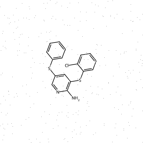 Nc1ncc(Sc2ccccc2)cc1Sc1ccccc1Cl